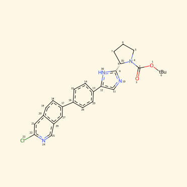 CC(C)(C)OC(=O)N1CCC[C@H]1c1ncc(-c2ccc(-c3ccc4cc(Cl)ncc4c3)cc2)[nH]1